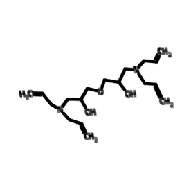 C=CCN(CC=C)CC(O)COCC(O)CN(CC=C)CC=C